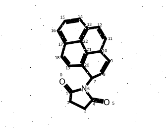 O=C1CCC(=O)N1C1C=CC2C=Cc3cccc4ccc1c2c34